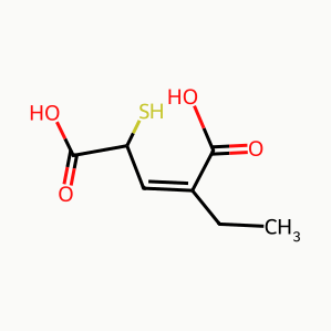 CCC(=CC(S)C(=O)O)C(=O)O